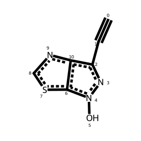 C#Cc1nn(O)c2scnc12